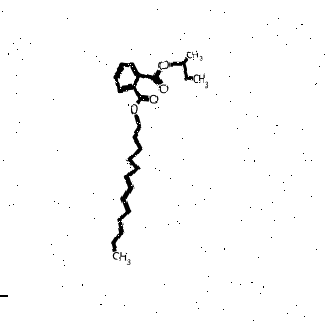 CCCCCCCCCCCCCOC(=O)c1ccccc1C(=O)OC(C)CC